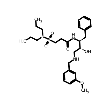 CCCN(CCC)S(=O)(=O)CCC(=O)N[C@@H](Cc1ccccc1)[C@H](O)CNCc1cccc(OC)c1